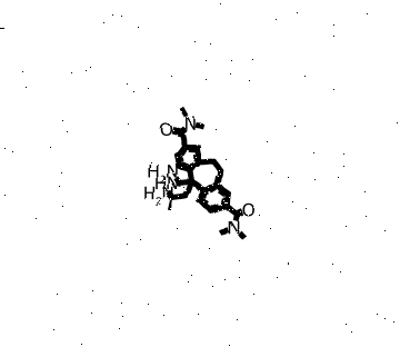 C[C@@H](N)CC1(C(=N)N)c2ccc(C(=O)N(C)C)cc2CCc2cc(C(=O)N(C)C)ccc21